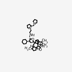 CC(C)C1=CC2CC3(C=O)[C@@H]4CC[C@@H](C)[C@H]4CC2([C@H]2C[C@@H](C4CCCCC4)[C@H](CNCCN4CCC[C@H]4CN4CCCC4)O2)[C@]13C(=O)O